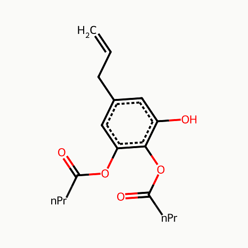 C=CCc1cc(O)c(OC(=O)CCC)c(OC(=O)CCC)c1